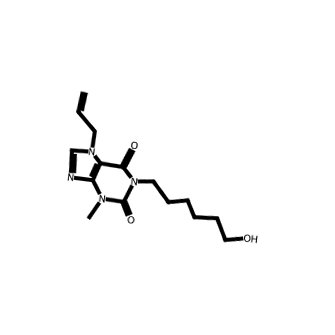 C=CCn1cnc2c1c(=O)n(CCCCCCO)c(=O)n2C